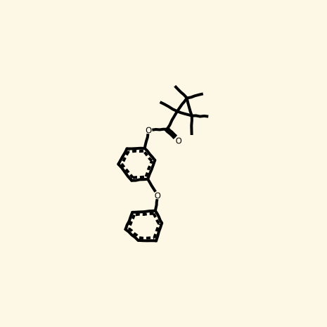 CC1(C)C(C)(C)C1(C)C(=O)Oc1cccc(Oc2ccccc2)c1